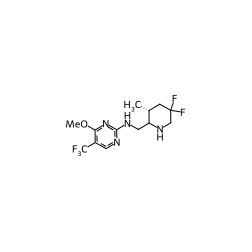 COc1nc(NCC2NCC(F)(F)C[C@H]2C)ncc1C(F)(F)F